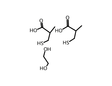 CC(CS)C(=O)O.CC(CS)C(=O)O.OCCO